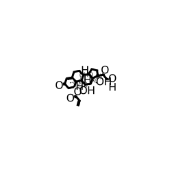 C=CC(=O)OC1CC(=O)C=C2CC[C@@H]3[C@H]([C@@H](O)C[C@@]4(C)[C@H]3CC[C@]4(O)C(=O)CO)[C@]21C